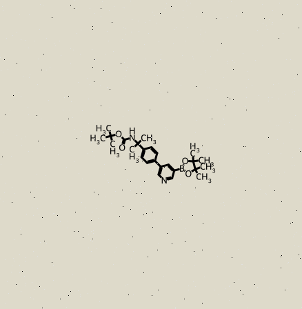 CC(C)(C)OC(=O)NC(C)(C)c1ccc(-c2cncc(B3OC(C)(C)C(C)(C)O3)c2)cc1